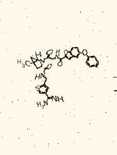 C[C@@]12C[C@@H]1N(C(=O)CNC(=O)c1cc3cc(Oc4ccccc4)ccc3o1)[C@H](C(=O)NCc1cc(C(=N)N)cs1)C2